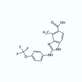 Cc1c(C(=O)O)ccc2[nH]c(Nc3ccc(OC(F)(F)F)cc3)nc12